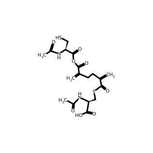 C=C(CCC(=C)C(=O)SC[C@H](NC(C)=O)C(=O)O)C(=O)OC(=O)[C@H](CS)NC(C)=O